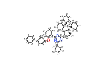 c1ccc(-c2ccc3oc4c(-c5nc(-c6ccccc6)nc(-c6cccc(C7(c8ccccc8)c8ccccc8-c8ccccc87)c6)n5)cccc4c3c2)cc1